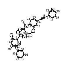 Cc1cc(=O)c(C(=O)N[C@H]2COc3cc(C#Cc4cccnc4)ccc3N(C)C2=O)nn1-c1ccccc1